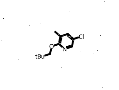 Cc1cc(Cl)cnc1OCC(C)(C)C